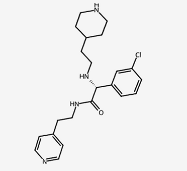 O=C(NCCc1ccncc1)[C@H](NCCC1CCNCC1)c1cccc(Cl)c1